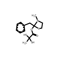 CN1CCSC1(Cc1ccccc1)OC(=O)C(C)(S)S